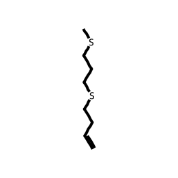 C=CCCSCCCSC